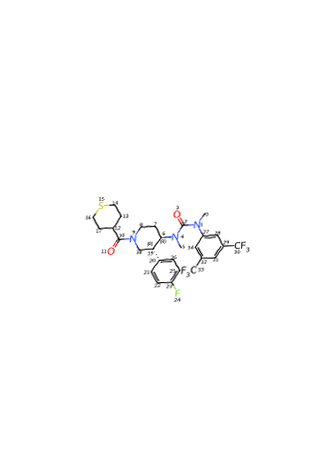 CN(C(=O)N(C)[C@@H]1CCN(C(=O)C2CCSCC2)C[C@H]1c1ccc(F)cc1)c1cc(C(F)(F)F)cc(C(F)(F)F)c1